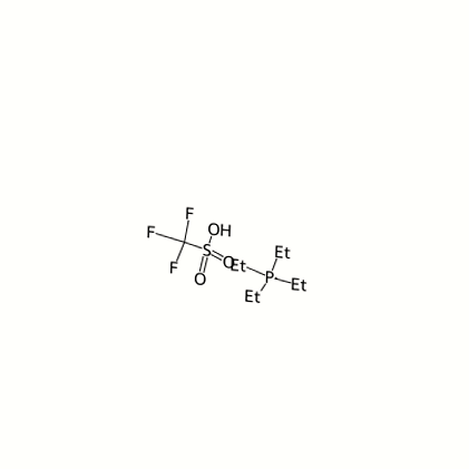 CC[P](CC)(CC)CC.O=S(=O)(O)C(F)(F)F